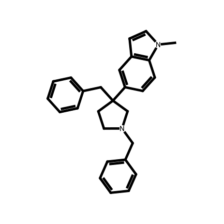 Cn1ccc2cc(C3(Cc4ccccc4)CCN(Cc4ccccc4)C3)ccc21